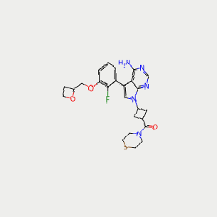 Nc1ncnc2c1c(-c1cccc(OCC3CCO3)c1F)cn2C1CC(C(=O)N2CCSCC2)C1